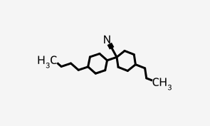 CCCCC1CCC(C2(C#N)CCC(CCC)CC2)CC1